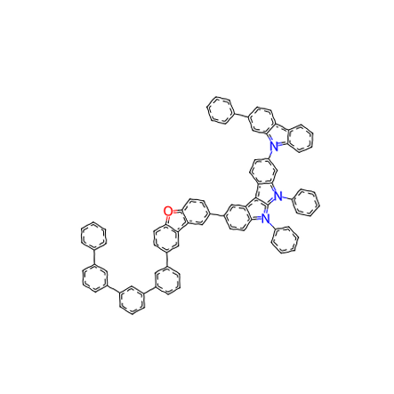 c1ccc(-c2cccc(-c3cccc(-c4cccc(-c5ccc6oc7ccc(-c8ccc9c(c8)c8c%10ccc(-n%11c%12ccccc%12c%12ccc(-c%13ccccc%13)cc%12%11)cc%10n(-c%10ccccc%10)c8n9-c8ccccc8)cc7c6c5)c4)c3)c2)cc1